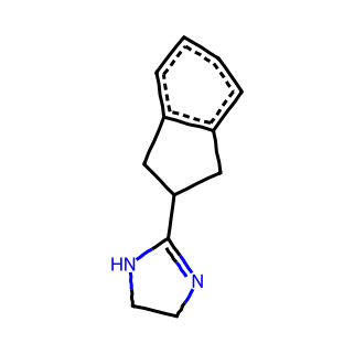 c1ccc2c(c1)CC(C1=NCCN1)C2